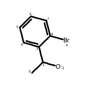 CC([O])c1ccccc1Br